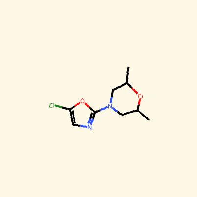 CC1CN(c2ncc(Cl)o2)CC(C)O1